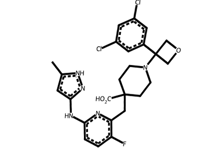 Cc1cc(Nc2ccc(F)c(CC3(C(=O)O)CCN(C4(c5cc(Cl)cc(Cl)c5)COC4)CC3)n2)n[nH]1